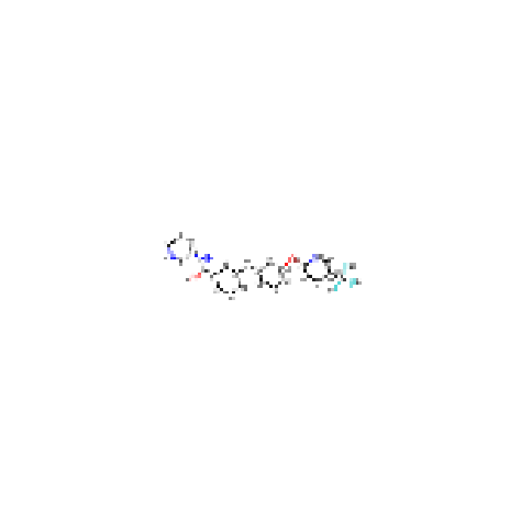 O=C(Nc1cccnc1)C1CCCC(=Cc2cccc(Oc3ccc(C(F)(F)F)cn3)c2)C1